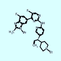 C=C[C@@H](c1ccc(Nc2ncc(F)c(-c3cc(F)c4nc(C)n(C(C)C)c4c3)n2)nc1)C1CCN(CC)CC1